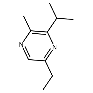 CCc1cnc(C)c(C(C)C)n1